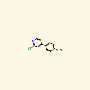 N#Cc1ccc(-c2ccnc(Cl)c2)cc1